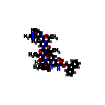 C#CCN(CC(=O)NC)C(=O)CN(CCC)C(=O)N(CCC)C(=O)N(CCC)C(=O)N(CCC)C(=O)N(CCC)C(=O)CN(CC#C)C(=O)C(CNC(=O)OC(C)(C)C)NC(=O)OCC1c2ccccc2-c2ccccc21